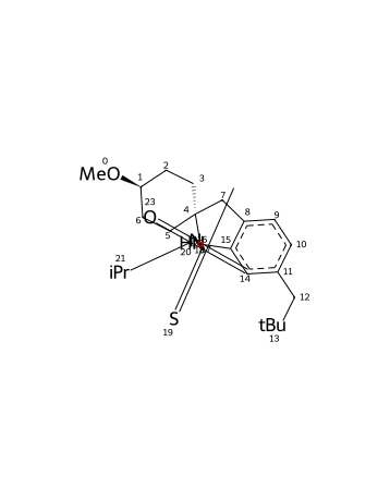 CO[C@H]1CC[C@]2(CC1)Cc1ccc(CC(C)(C)C)cc1C21NC(=S)N(C(C)C)C1=O